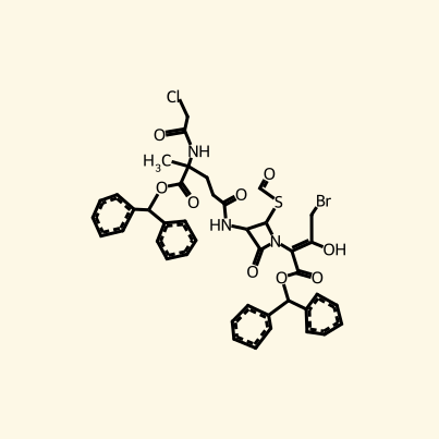 CC(CCC(=O)NC1C(=O)N(C(C(=O)OC(c2ccccc2)c2ccccc2)=C(O)CBr)C1SC=O)(NC(=O)CCl)C(=O)OC(c1ccccc1)c1ccccc1